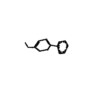 CCC1=CC=C(c2ccccc2)CC1